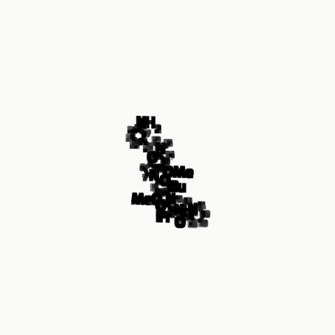 CC[C@H](C)[C@@H]([C@@H](CC(=O)N1CCC[C@H]1[C@H](OC)[C@@H](C)C(=O)N(C)CCc1cccc(N)c1)OC)N(C)C(=O)[C@@H](NC(=O)[C@@H]1CCCCN1C)C(C)C